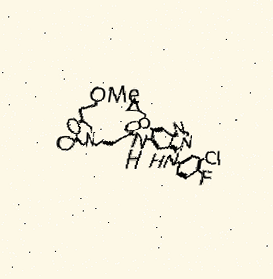 COCCC1CN(CC=CC(=O)Nc2cc3c(Nc4ccc(F)c(Cl)c4)ncnc3cc2OCC2CC2)CC(=O)O1